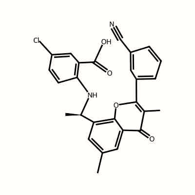 Cc1cc([C@@H](C)Nc2ccc(Cl)cc2C(=O)O)c2oc(-c3cccc(C#N)c3)c(C)c(=O)c2c1